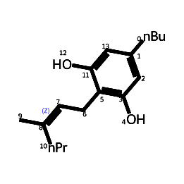 CCCCc1cc(O)c(C/C=C(/C)CCC)c(O)c1